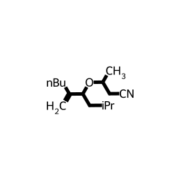 C=C(CCCC)C(CC(C)C)OC(C)CC#N